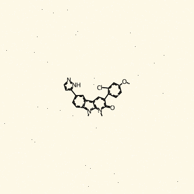 COc1ccc(-c2cc3c4cc(-c5ccn[nH]5)ccc4n(C)c3n(C)c2=O)c(Cl)c1